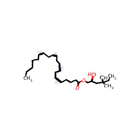 CCCCC/C=C\C/C=C\C/C=C\C/C=C\CCCC(=O)OCC(O)CC(C)(C)CC